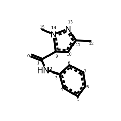 C=C(Nc1ccccc1)c1cc(C)nn1C